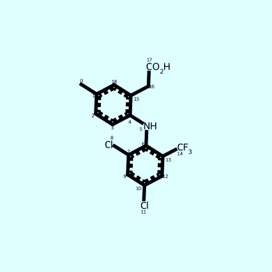 Cc1ccc(Nc2c(Cl)cc(Cl)cc2C(F)(F)F)c(CC(=O)O)c1